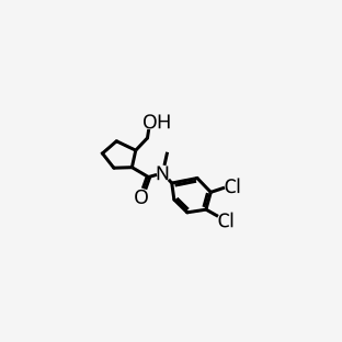 CN(C(=O)C1CCCC1CO)c1ccc(Cl)c(Cl)c1